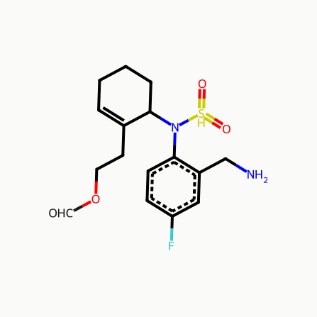 NCc1cc(F)ccc1N(C1CCCC=C1CCOC=O)[SH](=O)=O